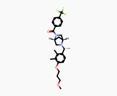 COCCCOc1ccc([C@@H](C)N2C[C@H]3C[C@@H]2CN3C(=O)c2ccc(C(F)(F)F)cc2)c(C)c1C